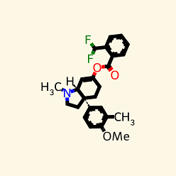 COc1ccc([C@@]23CCC(OC(=O)c4ccccc4C(F)F)=C[C@@H]2N(C)CC3)cc1C